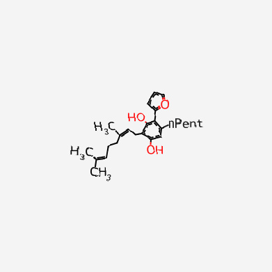 CCCCCc1cc(O)c(CC=C(C)CCC=C(C)C)c(O)c1-c1ccco1